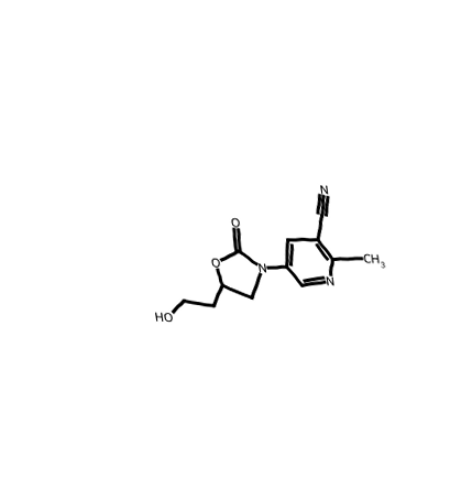 Cc1ncc(N2CC(CCO)OC2=O)cc1C#N